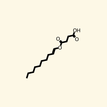 CCCCCCCCC=COC(=O)CCC(=O)O